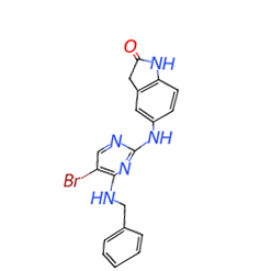 O=C1Cc2cc(Nc3ncc(Br)c(NCc4ccccc4)n3)ccc2N1